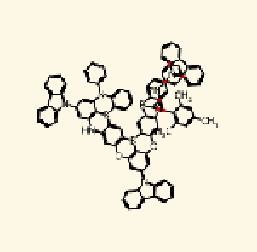 Cc1cc(C)c(N2c3cc4c(cc3B3c5ccccc5N(c5ccccc5)c5cc(-n6c7ccccc7c7ccccc76)cc2c53)B2c3cc5c(cc3Oc3cc(-n6c7ccccc7c7ccccc76)cc(c32)O4)Nc2cc(-n3c4ccccc4c4ccccc43)cc3c2B5c2ccccc2N3c2ccccc2)c(C)c1